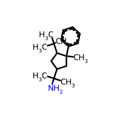 CC(C)(C)C1CC(C(C)(C)N)CC1(C)c1ccccc1